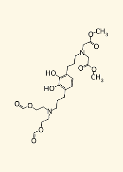 COC(=O)CN(CCCc1ccc(CCCN(CCOC=O)CCOC=O)c(O)c1O)CC(=O)OC